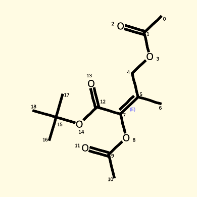 CC(=O)OC/C(C)=C(/OC(C)=O)C(=O)OC(C)(C)C